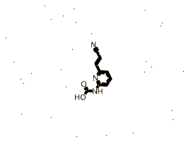 N#C/C=C/c1cccc(NC(=O)O)n1